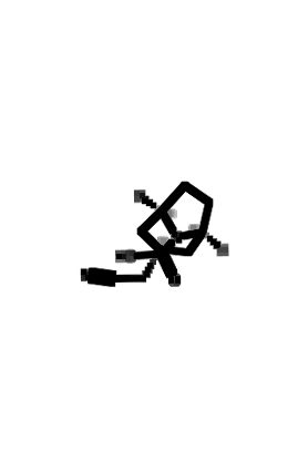 N#CC[C@@H]1C[C@H]2CC[C@@H](C1)N2C(=O)O